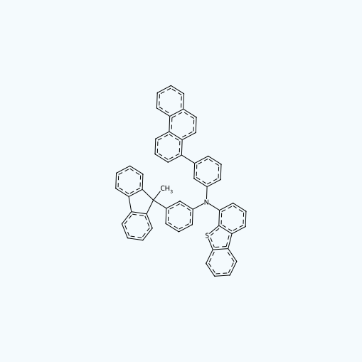 CC1(c2cccc(N(c3cccc(-c4cccc5c4ccc4ccccc45)c3)c3cccc4c3sc3ccccc34)c2)c2ccccc2-c2ccccc21